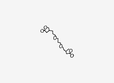 O=C1CC(CCCOCCCOCCC2COC(=O)C2)CO1